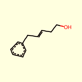 OCCC=CCc1ccccc1